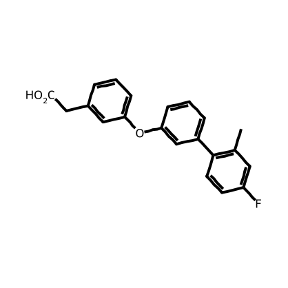 Cc1cc(F)ccc1-c1cccc(Oc2cccc(CC(=O)O)c2)c1